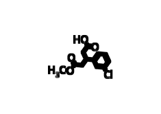 COC(=O)CC(CC(=O)O)c1cccc(Cl)c1